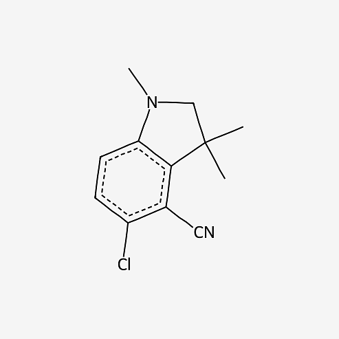 CN1CC(C)(C)c2c1ccc(Cl)c2C#N